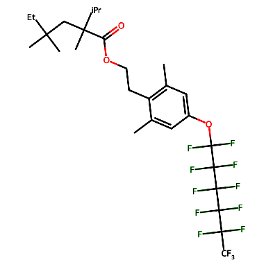 CCC(C)(C)CC(C)(C(=O)OCCc1c(C)cc(OC(F)(F)C(F)(F)C(F)(F)C(F)(F)C(F)(F)C(F)(F)F)cc1C)C(C)C